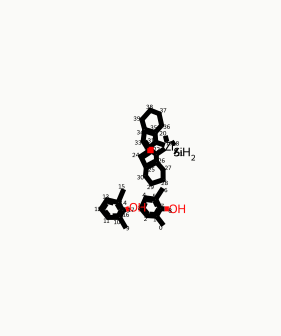 Cc1cccc(C)c1O.Cc1cccc(C)c1O.[CH3][Zr]([CH3])(=[SiH2])([CH]1C=CC2=C1CCCC2)[CH]1C=CC2=C1CCCC2